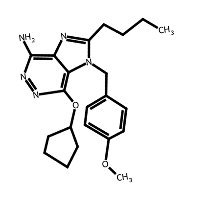 CCCCc1nc2c(N)nnc(OC3CCCC3)c2n1Cc1ccc(OC)cc1